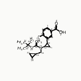 Cc1ccc(C(=O)O)cc1C1CC1N(CC1CC1)C(=O)OC(C)(C)C